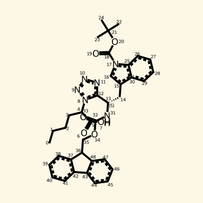 CCCCC(C(=O)O)n1nnnc1[C@H](Cc1cn(C(=O)OC(C)(C)C)c2ccccc12)NC(=O)OCC1c2ccccc2-c2ccccc21